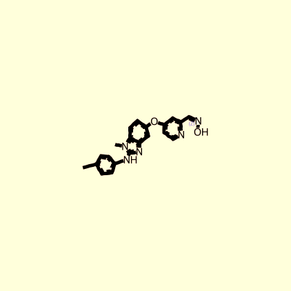 Cc1ccc(Nc2nc3cc(Oc4ccnc(/C=N\O)c4)ccc3n2C)cc1